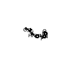 C=C(C)/C(=C\N=C(/C)CN[C@H]1CC[C@H](CNc2c(F)cnc3ccc(=O)n(C)c23)CC1)SCC(C)=O